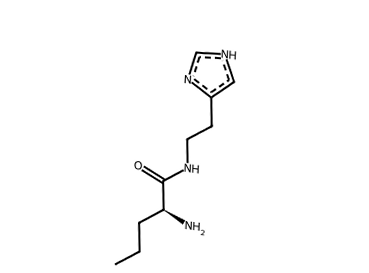 CCC[C@H](N)C(=O)NCCc1c[nH]cn1